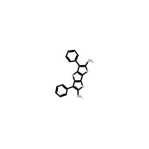 Cc1sc2c(sc3c(-c4ccccc4)c(C)sc32)c1-c1ccccc1